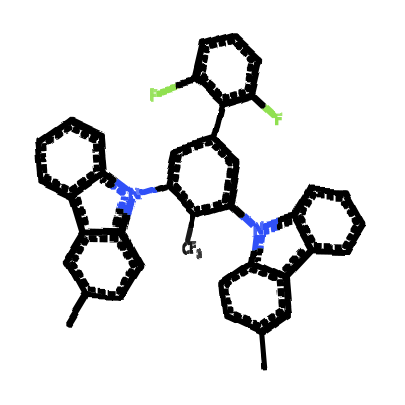 Cc1ccc2c(c1)c1ccccc1n2-c1cc(-c2c(F)cccc2F)cc(-n2c3ccccc3c3cc(C)ccc32)c1C(F)(F)F